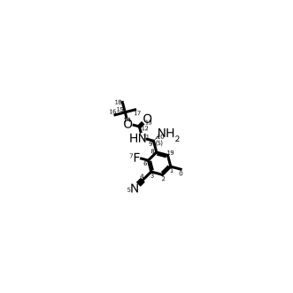 Cc1cc(C#N)c(F)c([C@@H](N)NC(=O)OC(C)(C)C)c1